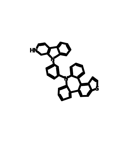 C1=Cc2c(n(-c3cccc(N4c5ccccc5-c5ccc6sccc6c5-c5ccccc54)c3)c3ccccc23)CN1